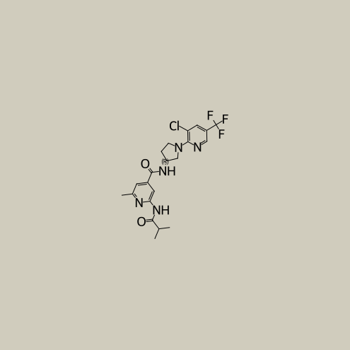 Cc1cc(C(=O)N[C@@H]2CCN(c3ncc(C(F)(F)F)cc3Cl)C2)cc(NC(=O)C(C)C)n1